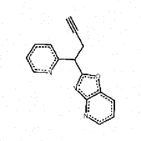 C#CCC(c1ccccn1)c1nc2ncccc2o1